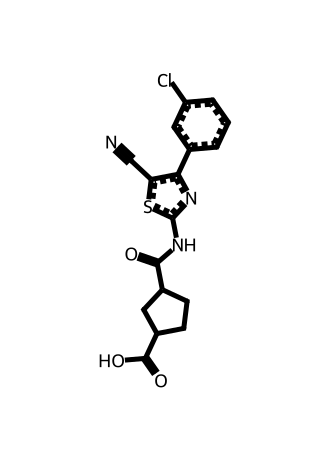 N#Cc1sc(NC(=O)C2CCC(C(=O)O)C2)nc1-c1cccc(Cl)c1